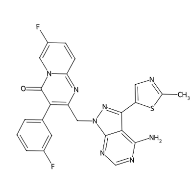 Cc1ncc(-c2nn(Cc3nc4ccc(F)cn4c(=O)c3-c3cccc(F)c3)c3ncnc(N)c23)s1